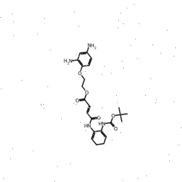 CC(C)(C)OC(=O)NC1=CCCC=C1NC(=O)/C=C/C(=O)OCCOc1ccc(N)cc1N